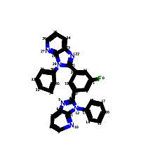 Fc1cc(-c2nc3cccnc3n2-c2ccccc2)cc(-c2nc3cccnc3n2-c2ccccc2)c1